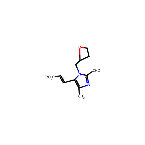 CCOC(=O)/C=C/c1c(C)nc(C=O)n1CC1CCO1